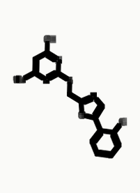 CC(C)(C)c1cc(O)nc(SCc2ncc(-c3ccccc3Cl)o2)n1